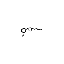 C=Cc1cccc(COCCCCCC)c1